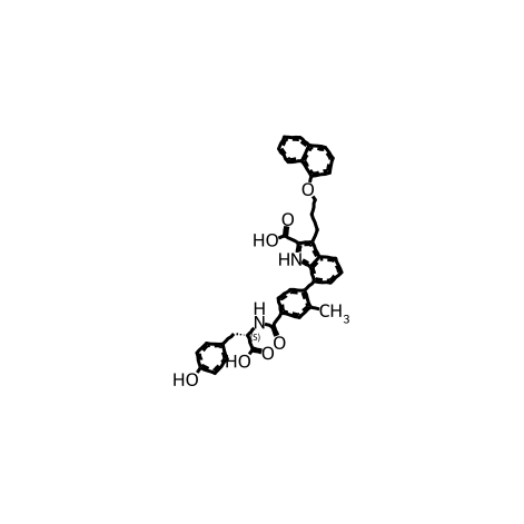 Cc1cc(C(=O)N[C@@H](Cc2ccc(O)cc2)C(=O)O)ccc1-c1cccc2c(CCCOc3cccc4ccccc34)c(C(=O)O)[nH]c12